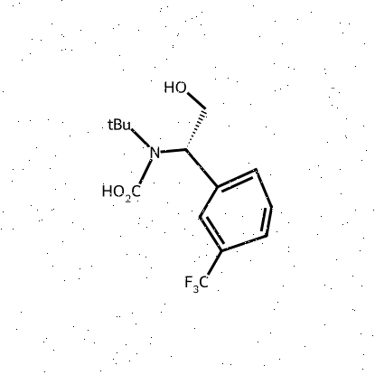 CC(C)(C)N(C(=O)O)[C@H](CO)c1cccc(C(F)(F)F)c1